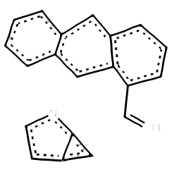 C=Cc1cccc2cc3ccccc3cc12.c1cc2cc-2n1